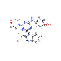 Oc1ccc(NC2=NC(N3CCOCC3)NC(n3c(C(F)F)nc4ccccc43)=N2)cc1